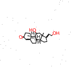 C[C@]12CCC(=O)C=C1CC[C@@H]1[C@@H]2[C@@H](O)C[C@]2(C)C(=CCO)CC[C@@H]12